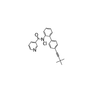 CC(C)(C)C#Cc1ccc(-c2ccccc2N(Cl)C(=O)c2cccnc2)cc1